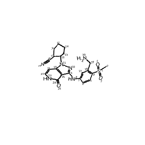 CS(=O)(=O)c1ccc(Nc2nn(C3CCCCC3C#N)c3cc[nH]c(=O)c23)cc1CN